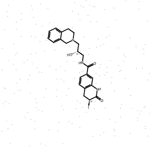 O=C(NC[C@H](O)CN1CCc2ccccc2C1)c1ccc2c(c1)NC(=O)[C@@H](I)C2